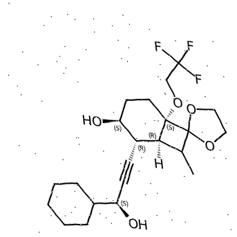 CC1[C@H]2[C@H](C#C[C@@H](O)C3CCCCC3)[C@@H](O)CC[C@@]2(OCC(F)(F)F)C12OCCO2